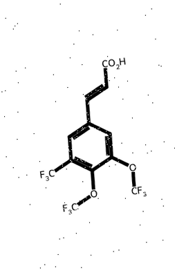 O=C(O)/C=C/c1cc(OC(F)(F)F)c(OC(F)(F)F)c(C(F)(F)F)c1